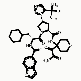 CC(C)(O)c1cnnn1[C@H]1C[C@@H](C(=O)NC2(C(=O)C(N)=O)CCOCC2)N(C(=O)[C@@H](CC2CCCCC2)NC(=O)c2ccc3occc3c2)C1